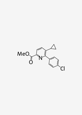 COC(=O)c1ccc(C2CC2)c(-c2ccc(Cl)cc2)n1